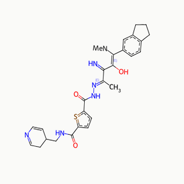 CN/C(=C(/O)C(=N)/C(C)=N/NC(=O)c1ccc(C(=O)NCC2C=CN=CC2)s1)c1ccc2c(c1)CCC2